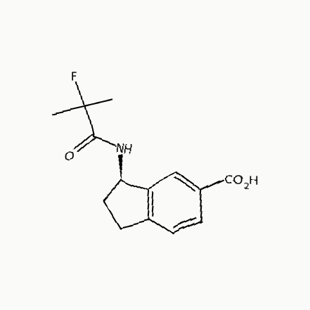 CC(C)(F)C(=O)N[C@@H]1CCc2ccc(C(=O)O)cc21